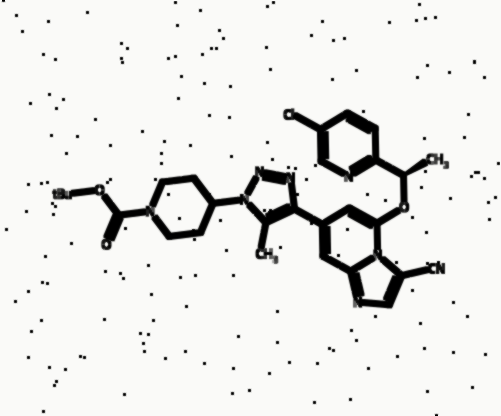 Cc1c(-c2cc(O[C@H](C)c3ccc(Cl)cn3)n3c(C#N)cnc3c2)nnn1C1CCN(C(=O)OC(C)(C)C)CC1